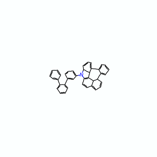 C1=CC2c3ccccc3C3=CC=CC4C3C3=C(C=CC(=C1)C32)N4c1cccc(-c2ccccc2-c2ccccc2)c1